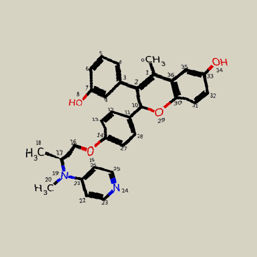 CC1=C(c2cccc(O)c2)C(c2ccc(OC[C@H](C)N(C)c3ccncc3)cc2)Oc2ccc(O)cc21